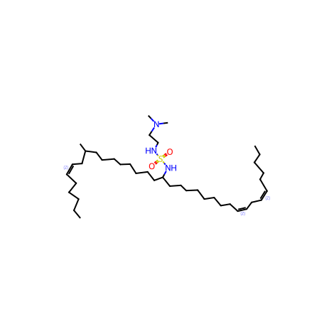 CCCCC/C=C\C/C=C\CCCCCCCCC(CCCCCCCCC(C)C/C=C\CCCCC)NS(=O)(=O)NCCN(C)C